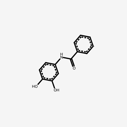 O=C(Nc1ccc(O)c(O)c1)c1c[c]ccc1